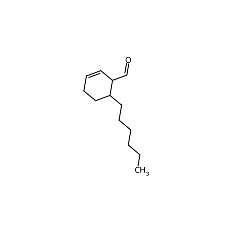 CCCCCCC1CCC=CC1C=O